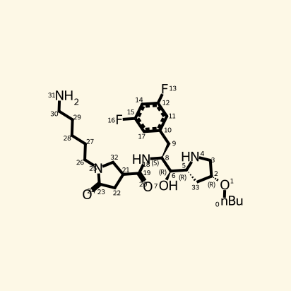 CCCCO[C@H]1CN[C@@H]([C@@H](O)[C@H](Cc2cc(F)cc(F)c2)NC(=O)C2CC(=O)N(CCCCCN)C2)C1